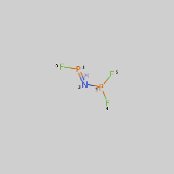 F/P=N/P(F)F